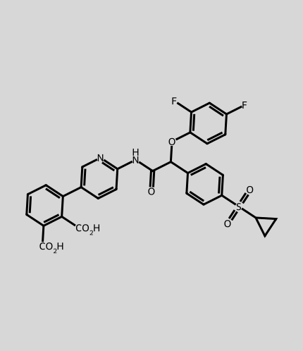 O=C(O)c1cccc(-c2ccc(NC(=O)C(Oc3ccc(F)cc3F)c3ccc(S(=O)(=O)C4CC4)cc3)nc2)c1C(=O)O